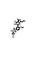 CCCc1nc(C)c2c(=O)[nH]c(-c3cc(S(=O)(=O)NC4CNC4)ccc3OCC)nn12